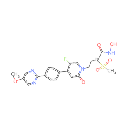 COc1cnc(-c2ccc(-c3cc(=O)n(CC[C@H](C(=O)NO)S(C)(=O)=O)cc3F)cc2)nc1